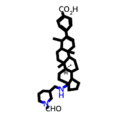 CC1C(c2ccc(C(=O)O)cc2)=CCC2(C)C1CCC1(C)C2CCC2C3CCCC3(NCC3CCCN(C=O)C3)CC[C@]21C